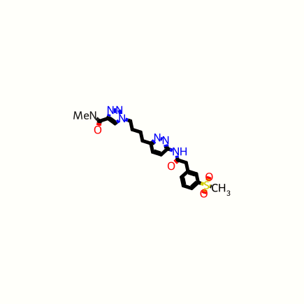 CNC(=O)c1cn(CCCCc2ccc(NC(=O)Cc3cccc(S(C)(=O)=O)c3)nn2)nn1